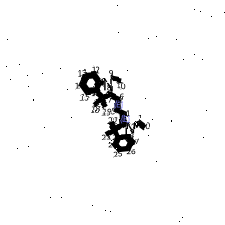 CCN1/C(=C/C=C/C2N(CC)c3ccccc3C2(C)C)C(C)(C)c2ccccc21